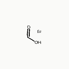 O=CO.[Eu]